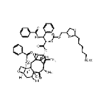 CCCCCCCCCCCCCCCC1OCC(COC(=O)O[C@@H](C(=O)O[C@H]2C[C@@]3(O)[C@@H](OC(=O)c4ccccc4)[C@@H]4[C@]5(OC(C)=O)CO[C@@H]5C[C@H](O)[C@@]4(C)C(=O)[C@H](OC(C)=O)C(=C2C)C3(C)C)[C@@H](NC(=O)c2ccccc2)c2ccccc2)O1